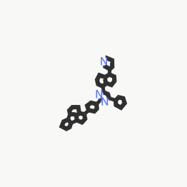 c1ccc(-c2cc(-c3cccc4c(-c5cccnc5)cccc34)nc(-c3ccc(-c4ccc5c6c(cccc46)-c4ccccc4-5)cc3)n2)cc1